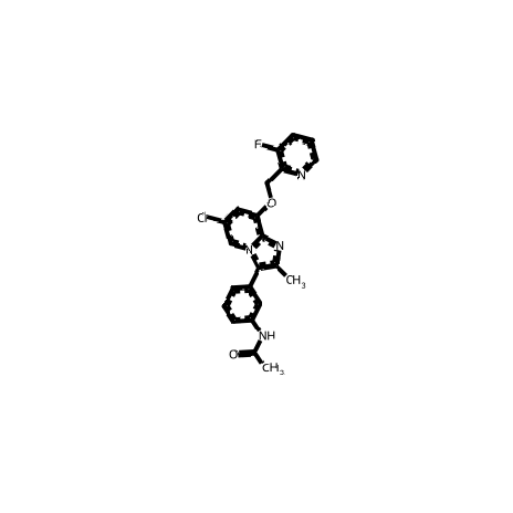 CC(=O)Nc1cccc(-c2c(C)nc3c(OCc4ncccc4F)cc(Cl)cn23)c1